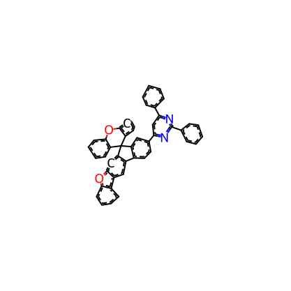 c1ccc(-c2cc(-c3ccc4c(c3)C3(c5ccccc5Oc5ccccc53)c3cc5oc6ccccc6c5cc3-4)nc(-c3ccccc3)n2)cc1